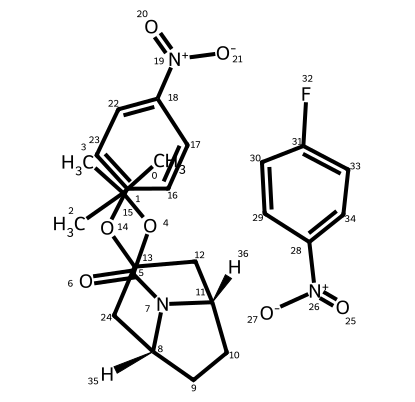 CC(C)(C)OC(=O)N1[C@@H]2CC[C@H]1CC(Oc1ccc([N+](=O)[O-])cc1)C2.O=[N+]([O-])c1ccc(F)cc1